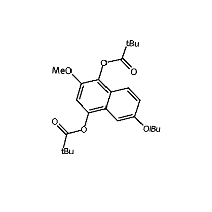 COc1cc(OC(=O)C(C)(C)C)c2cc(OCC(C)C)ccc2c1OC(=O)C(C)(C)C